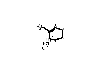 Cl.Cl.NC1=NCCCN1